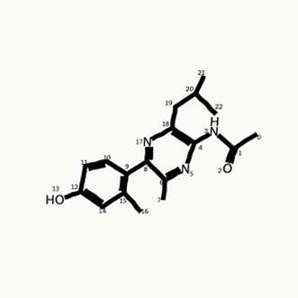 CC(=O)Nc1nc(C)c(-c2ccc(O)cc2C)nc1CC(C)C